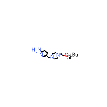 CC(C)(C)[Si](C)(C)OCCN1CCN(Cc2ccc(N)nc2)CC1